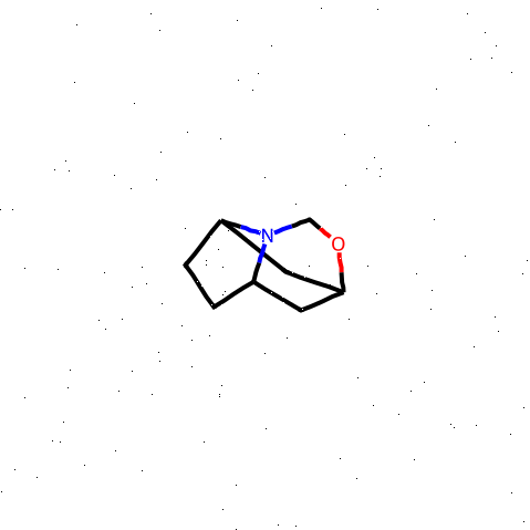 C1CC2CC3CC1N2CO3